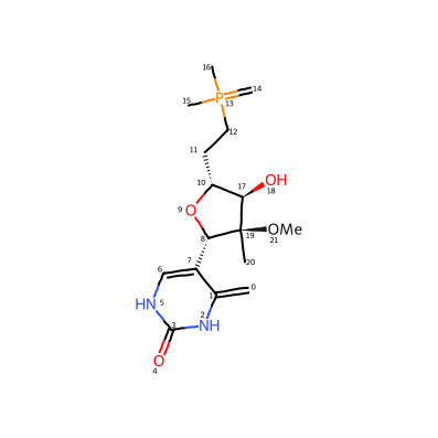 C=C1NC(=O)NC=C1[C@@H]1O[C@H](CCP(=C)(C)C)[C@@H](O)[C@@]1(C)OC